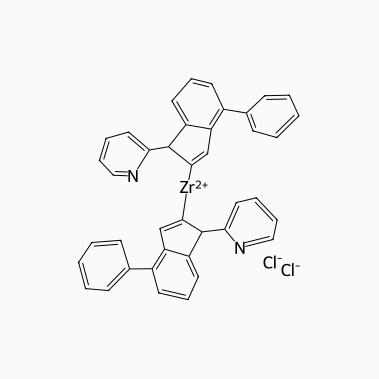 C1=[C]([Zr+2][C]2=Cc3c(-c4ccccc4)cccc3C2c2ccccn2)C(c2ccccn2)c2cccc(-c3ccccc3)c21.[Cl-].[Cl-]